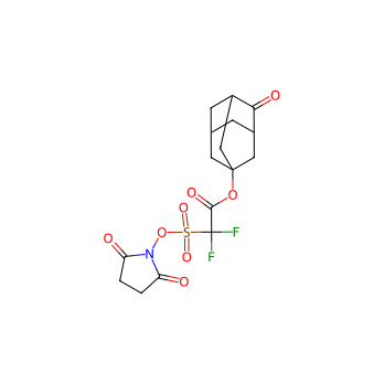 O=C1C2CC3CC1CC(OC(=O)C(F)(F)S(=O)(=O)ON1C(=O)CCC1=O)(C3)C2